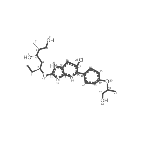 CC[C@@H](C[C@H](O)[C@H](C)CO)Oc1nc2nc(-c3ccc(OC(C)CO)cc3)c(Cl)cc2[nH]1